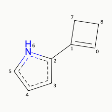 C1=C(c2ccc[nH]2)CC1